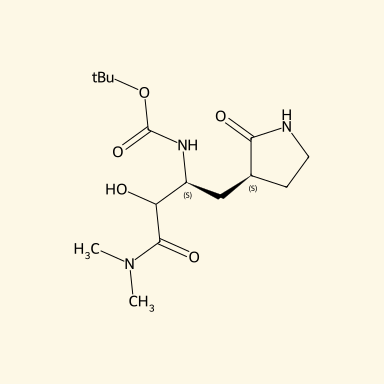 CN(C)C(=O)C(O)[C@H](C[C@@H]1CCNC1=O)NC(=O)OC(C)(C)C